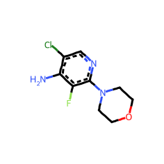 Nc1c(Cl)cnc(N2CCOCC2)c1F